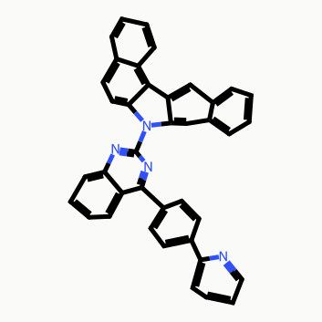 c1ccc(-c2ccc(-c3nc(-n4c5cc6ccccc6cc5c5c6ccccc6ccc54)nc4ccccc34)cc2)nc1